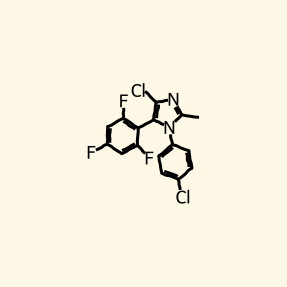 Cc1nc(Cl)c(-c2c(F)cc(F)cc2F)n1-c1ccc(Cl)cc1